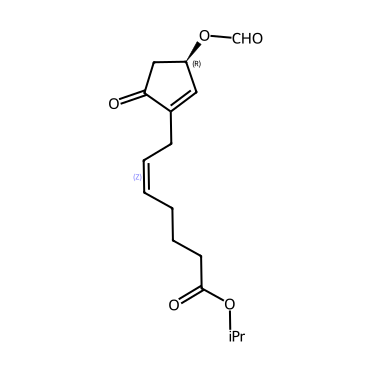 CC(C)OC(=O)CCC/C=C\CC1=C[C@H](OC=O)CC1=O